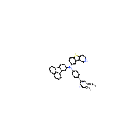 C=C/C=C(\C=C/C)c1ccc(N(c2ccc3c(c2)-c2cccc4cccc-3c24)c2ccc3sc4ccncc4c3c2)cc1